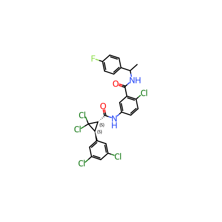 CC(NC(=O)c1cc(NC(=O)[C@@H]2[C@@H](c3cc(Cl)cc(Cl)c3)C2(Cl)Cl)ccc1Cl)c1ccc(F)cc1